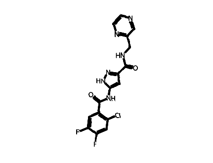 O=C(NCc1cnccn1)c1cc(NC(=O)c2cc(F)c(F)cc2Cl)[nH]n1